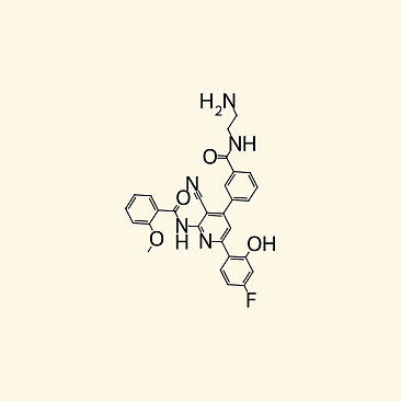 COc1ccccc1C(=O)Nc1nc(-c2ccc(F)cc2O)cc(-c2cccc(C(=O)NCCN)c2)c1C#N